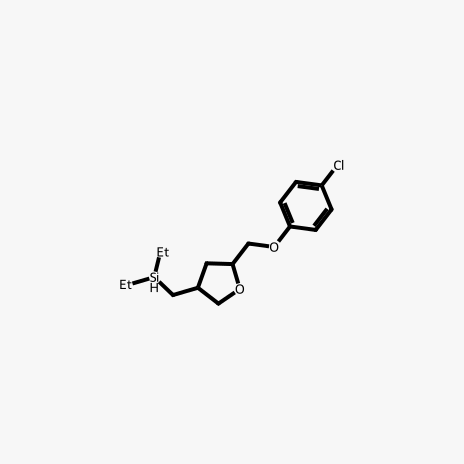 CC[SiH](CC)CC1COC(COc2ccc(Cl)cc2)C1